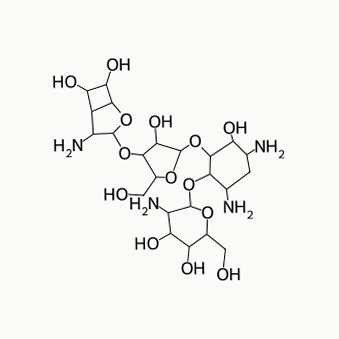 NC1CC(N)C(OC2OC(CO)C(O)C(O)C2N)C(OC2OC(CO)C(OC3OC4C(O)C(O)C4C3N)C2O)C1O